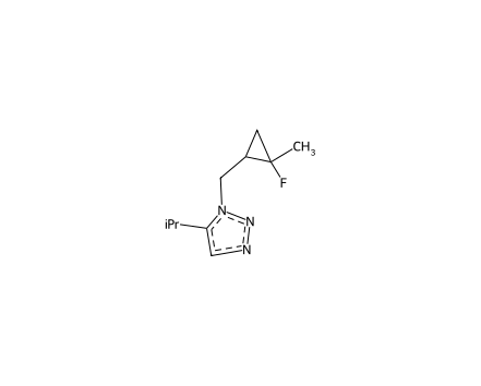 CC(C)c1cnnn1CC1CC1(C)F